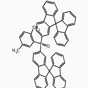 Cc1ccc(C)c(P(=O)(c2ccc3c(c2)C2(c4ccccc4-c4ccccc42)c2ccccc2-3)c2ccc3c(c2)C2(c4ccccc4-c4ccccc42)c2ccccc2-3)c1